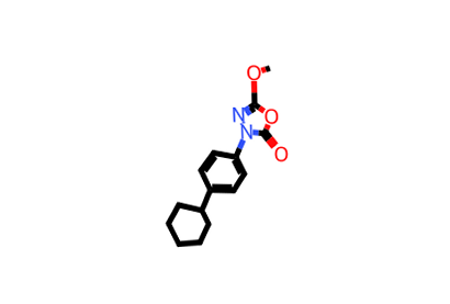 COc1nn(-c2ccc(C3CCCCC3)cc2)c(=O)o1